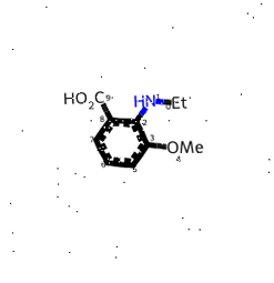 CCNc1c(OC)cccc1C(=O)O